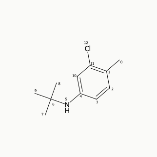 Cc1ccc(NC(C)(C)C)cc1Cl